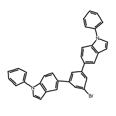 Brc1cc(-c2ccc3c(ccn3-c3ccccc3)c2)cc(-c2ccc3c(ccn3-c3ccccc3)c2)c1